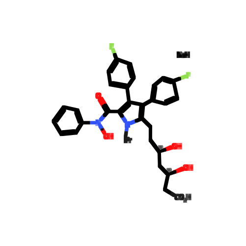 CC(C)n1c(CC[C@@H](O)C[C@@H](O)CC(=O)O)c(-c2ccc(F)cc2)c(-c2ccc(F)cc2)c1C(=O)N(O)c1ccccc1.[NaH]